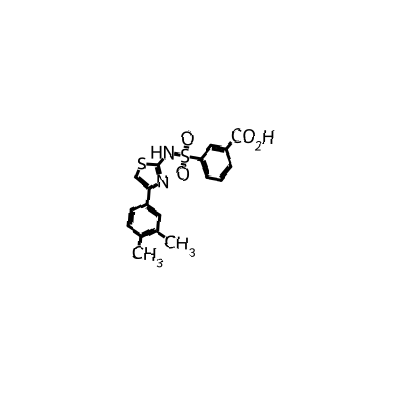 Cc1ccc(-c2csc(NS(=O)(=O)c3cccc(C(=O)O)c3)n2)cc1C